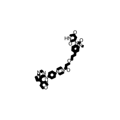 Cn1c(=O)n(C2CC(=O)CNC2=O)c2ccc(CCCOCCC(=O)N3CCN(C4CCC(Nc5ncnn6ccc(C7CCOCC7)c56)CC4)CC3)cc21